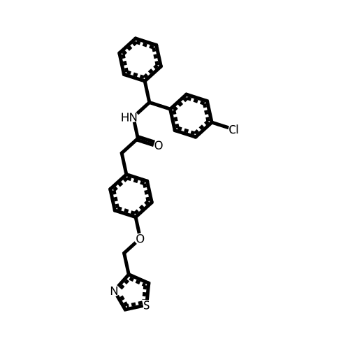 O=C(Cc1ccc(OCc2cscn2)cc1)NC(c1ccccc1)c1ccc(Cl)cc1